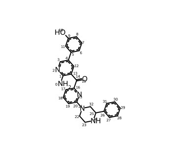 Nc1ncc(-c2cccc(O)c2)cc1C(=O)c1cccc(N2CCNC(c3ccccc3)C2)n1